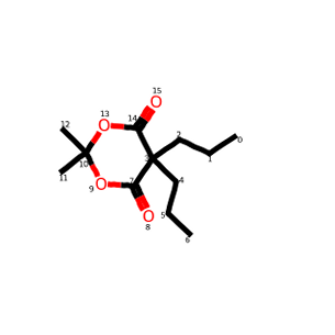 CCCC1(CCC)C(=O)OC(C)(C)OC1=O